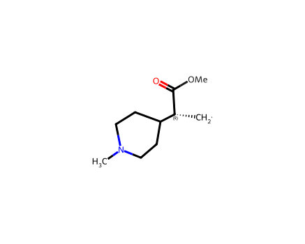 [CH2][C@@H](C(=O)OC)C1CCN(C)CC1